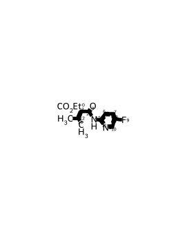 CCOC(=O)C(C(=O)Nc1ccc(F)cn1)=C(C)C